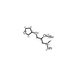 CCCN(C)CC(COC1CCOC1)OC(C)(C)C